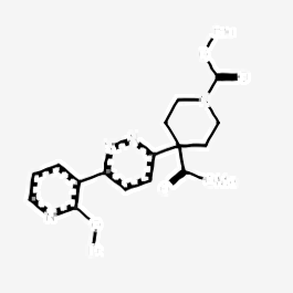 CCOc1ncccc1-c1ccc(C2(C(=O)OC)CCN(C(=O)OC(C)(C)C)CC2)nn1